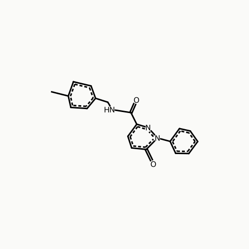 Cc1ccc(CNC(=O)c2ccc(=O)n(-c3ccccc3)n2)cc1